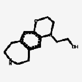 OCCN1CCOc2cc3c(cc21)CCNCC3